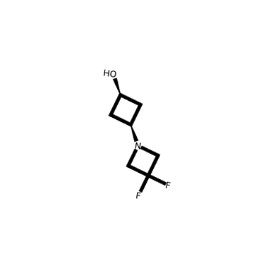 O[C@H]1C[C@@H](N2CC(F)(F)C2)C1